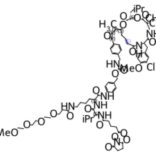 COCCOCCOCCOCCC(=O)NCCCC[C@H](NC(=O)[C@@H](NC(=O)CCCC(=O)ON1C(=O)CCC1=O)C(C)C)C(=O)Nc1ccc(COC(=O)NCc2ccc([C@H]3O[C@@H]3[C@@H](C)[C@@H]3C/C=C/C(=O)NC(Cc4ccc(OC)c(Cl)c4)C(=O)NCC(C)(C)C(=O)O[C@@H](CC(C)C)C(=O)O3)cc2)cc1